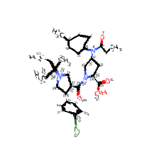 CCC(=O)N(C1CCC(C)CC1)[C@H]1C[C@@H](C(=O)O)N(C(=O)[C@@H]2CN(C(C)(C)C)C[C@H]2c2ccc(Cl)cc2)C1